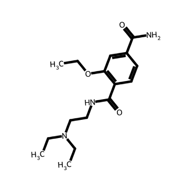 CCOc1cc(C(N)=O)ccc1C(=O)NCCN(CC)CC